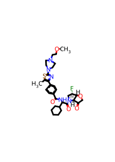 COCCN1CCN(c2nc(-c3ccc(C(=O)N[C@H](C(=O)N4C[C@H](F)[C@H]5OCC(=O)[C@H]54)C4CCCCC4)cc3)c(C)s2)CC1